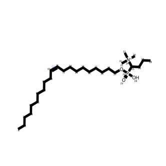 CCCCCCCCCC/C=C\CCCCCCCCCOP(=O)(O)C(CCC)[N+](C)(C)C